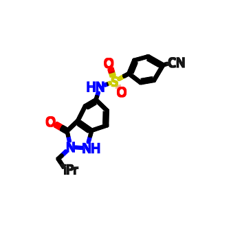 CC(C)Cn1[nH]c2ccc(NS(=O)(=O)c3ccc(C#N)cc3)cc2c1=O